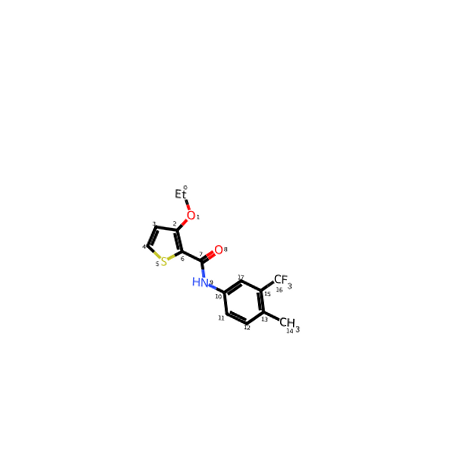 CCOc1ccsc1C(=O)Nc1ccc(C)c(C(F)(F)F)c1